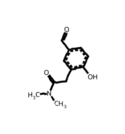 CN(C)C(=O)Cc1cc(C=O)ccc1O